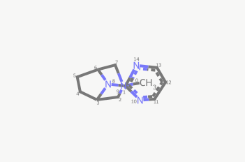 CN1CC2CCC(C1)N2c1ncccn1